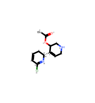 CC(C)(C)C(=O)OC1CNCC=C1[C@H]1CC=CC(Cl)=N1